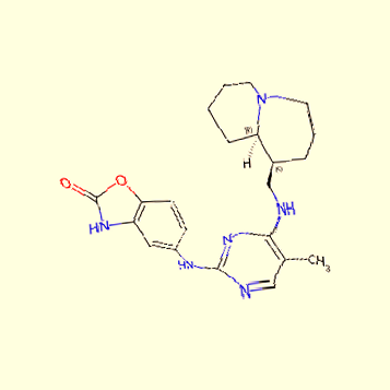 Cc1cnc(Nc2ccc3oc(=O)[nH]c3c2)nc1NC[C@@H]1CCCN2CCCC[C@H]12